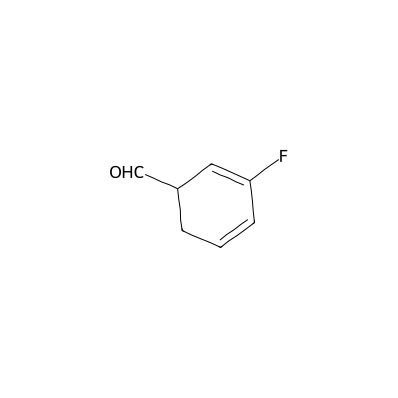 O=CC1C=C(F)C=CC1